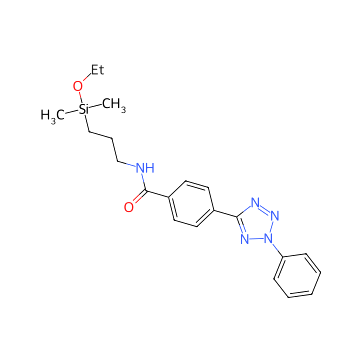 CCO[Si](C)(C)CCCNC(=O)c1ccc(-c2nnn(-c3ccccc3)n2)cc1